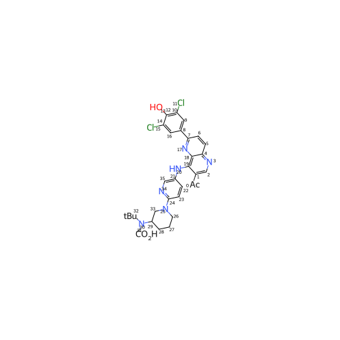 CC(=O)c1cnc2ccc(-c3cc(Cl)c(O)c(Cl)c3)nc2c1Nc1ccc(N2CCCC(N(C(=O)O)C(C)(C)C)C2)nc1